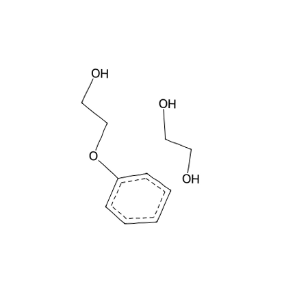 OCCO.OCCOc1ccccc1